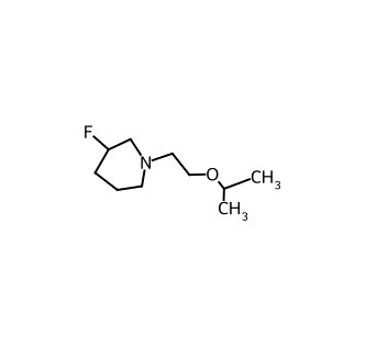 CC(C)OCCN1CCCC(F)C1